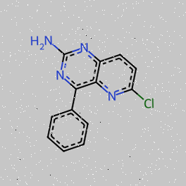 Nc1nc(-c2ccccc2)c2nc(Cl)ccc2n1